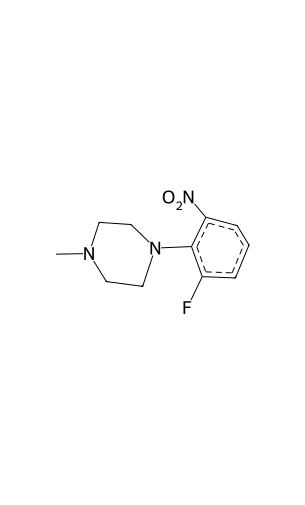 CN1CCN(c2c(F)cccc2[N+](=O)[O-])CC1